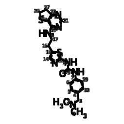 CN(C)Cc1ccc(NC(=O)Nc2ncc(CCNc3ncnc4c3SCC4)s2)cc1